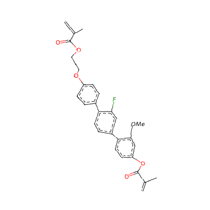 C=C(C)C(=O)OCCOc1ccc(-c2ccc(-c3ccc(OC(=O)C(=C)C)cc3OC)cc2F)cc1